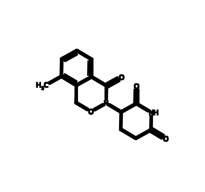 Cc1cccc2c1CON(C1CCC(=O)NC1=O)C2=O